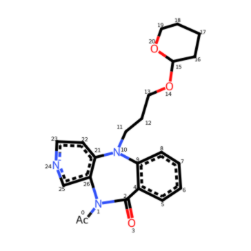 CC(=O)N1C(=O)c2ccccc2N(CCCOC2CCCCO2)c2ccncc21